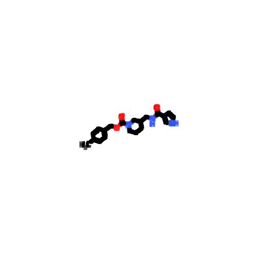 Cc1ccc(COC(=O)N2CCCC(CNC(=O)c3cc[nH]c3)C2)cc1